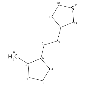 CC1CCCC1CCC1CCSC1